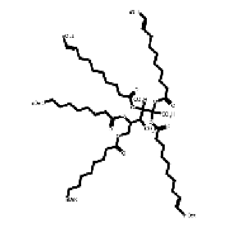 CCCCCCCCC=CCCCCCCCC(=O)OC(OC(=O)CCCCCCCC=CCCCCCCCC)(C(=O)O)C(OC(=O)CCCCCCCC=CCCCCCCCC)(C(=O)O)C(C(=O)O)C(COC(=O)CCCCCCCCCCCCCCCCC)OC(=O)CCCCCCCCCCCCCCCCC